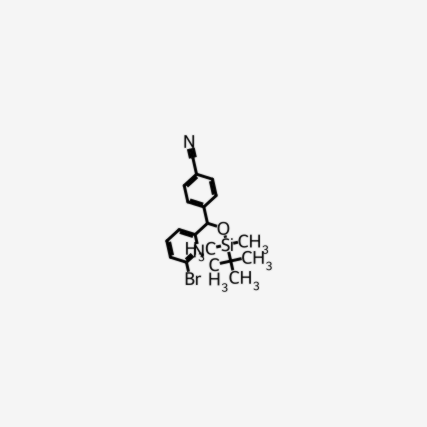 CC(C)(C)[Si](C)(C)OC(c1ccc(C#N)cc1)c1cccc(Br)n1